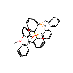 COc1ccccc1[C@@H](c1ccccc1)c1ccccc1S(C)(C)c1ccccc1[P@](Cc1ccccc1)c1ccccc1OC